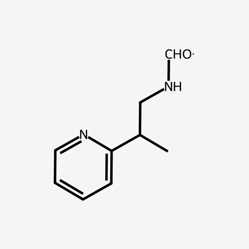 CC(CN[C]=O)c1ccccn1